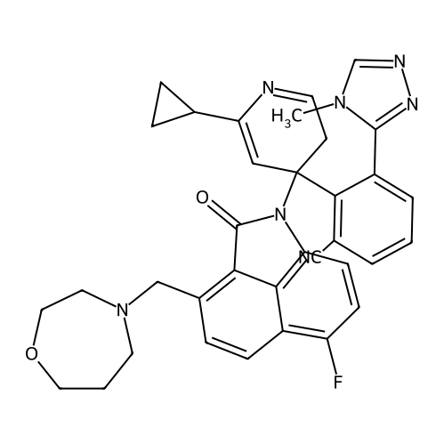 Cn1cnnc1-c1cccc(C#N)c1C1(N2C(=O)c3c(CN4CCCOCC4)ccc4c(F)ccc2c34)C=C(C2CC2)N=CC1